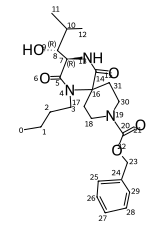 CCCCN1C(=O)[C@@H]([C@H](O)C(C)C)NC(=O)C12CCN(C(=O)OCc1ccccc1)CC2